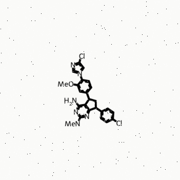 CNc1nc(N)c2c(n1)C(c1ccc(Cl)cc1)CC2c1ccc(-n2cnc(Cl)c2)c(OC)c1